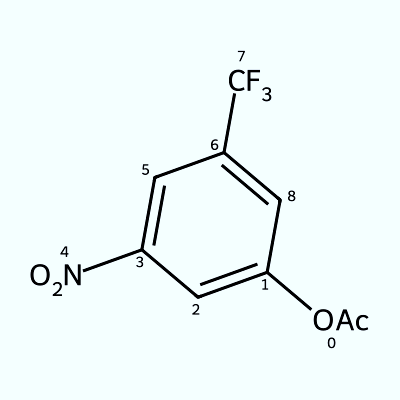 CC(=O)Oc1cc([N+](=O)[O-])cc(C(F)(F)F)c1